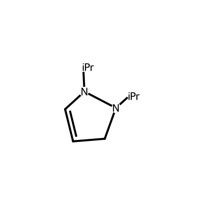 CC(C)N1C=CCN1C(C)C